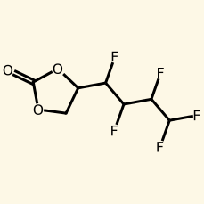 O=C1OCC(C(F)C(F)C(F)C(F)F)O1